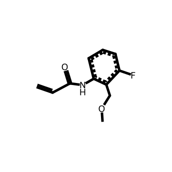 C=CC(=O)Nc1cccc(F)c1COC